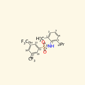 Cc1cccc(C(C)C)c1NS(=O)(=O)c1cc(C(F)(F)F)cc(C(F)(F)F)c1